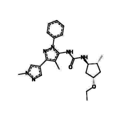 CCO[C@H]1C[C@@H](C)[C@H](NC(=O)Nc2c(C)c(-c3cnn(C)c3)nn2-c2ccccc2)C1